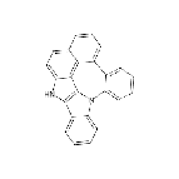 c1cc2ccc3[nH]c4c5ccccc5n5c6ccccc6c(c1)c2c3c45